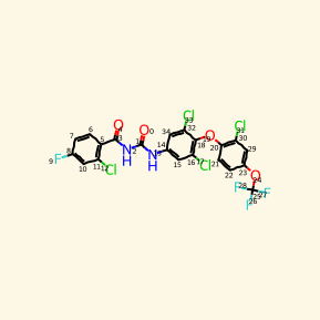 O=C(NC(=O)c1ccc(F)cc1Cl)Nc1cc(Cl)c(Oc2ccc(OC(F)(F)F)cc2Cl)c(Cl)c1